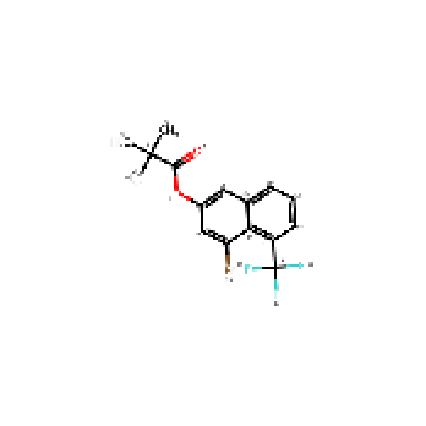 CC(C)(C)C(=O)Oc1cc(Br)c2c(C(F)(F)F)cccc2c1